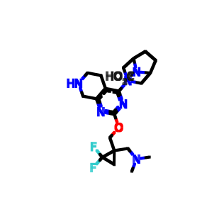 CN(C)CC1(COc2nc3c(c(N4CC5CCC(C4)N5C(=O)O)n2)CCNC3)CC1(F)F